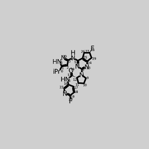 CC(C)c1cc(Nc2nc(N3CCC[C@@H]3C(=O)Nc3ccc(F)nc3)nc3c2C[C@H](F)C3)n[nH]1